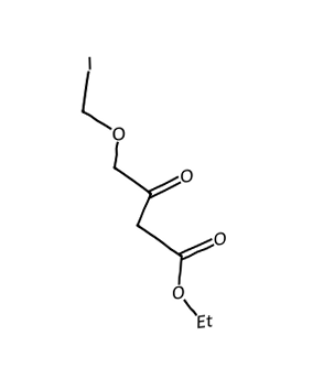 CCOC(=O)CC(=O)COCI